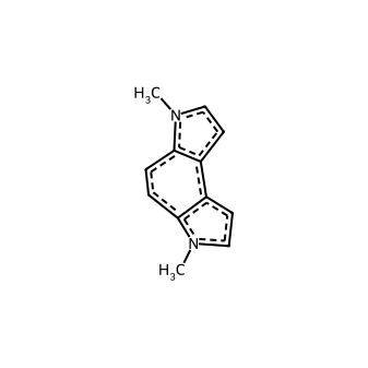 Cn1ccc2c3ccn(C)c3ccc21